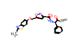 COC(=O)[C@H](NC(=O)c1cc(COc2ccc3nc(C)sc3c2)on1)c1ccccc1